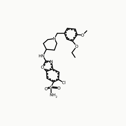 CCOc1cc(CN2CCC(Nc3nc4cc(Cl)c(S(N)(=O)=O)cc4o3)CC2)ccc1OC